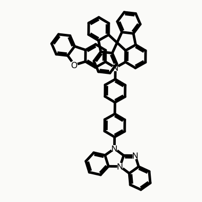 c1ccc2c(c1)-c1ccccc1C21c2ccccc2-c2cccc(N(c3ccc(-c4ccc(-n5c6ccccc6n6c7ccccc7nc56)cc4)cc3)c3ccc4c(c3)oc3ccccc34)c21